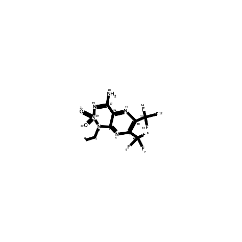 CCN1c2nc(C(F)(F)F)c(C(F)(F)F)nc2C(N)=NS1(=O)=O